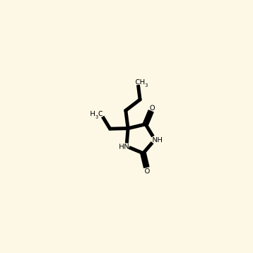 CCCC1(CC)NC(=O)NC1=O